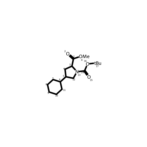 COC(=O)C1CC(C2CCCCC2)CN1C(=O)OC(C)(C)C